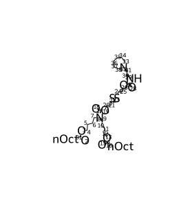 CCCCCCCCC(=O)OCCCCN(CCCCOC(=O)CCCCCCCC)C(=O)OCCSSCCOC(=O)NCCN1CCCCCC1